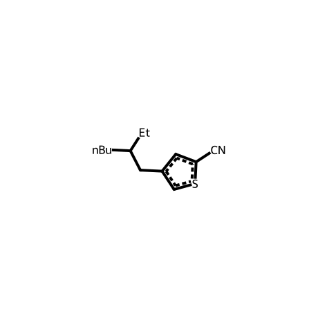 CCCCC(CC)Cc1csc(C#N)c1